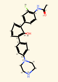 CC(=O)Nc1ccc(-c2cccc(-c3ccc(N4CCNCC4)cc3)c2O)cc1F